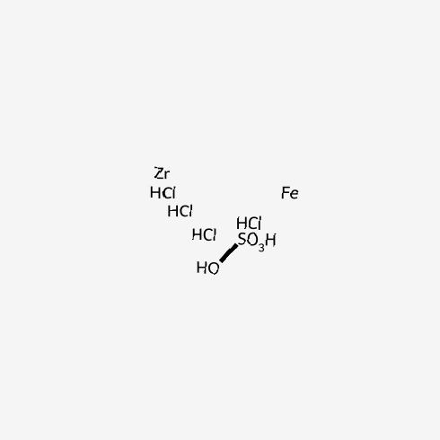 Cl.Cl.Cl.Cl.O=S(=O)(O)O.[Fe].[Zr]